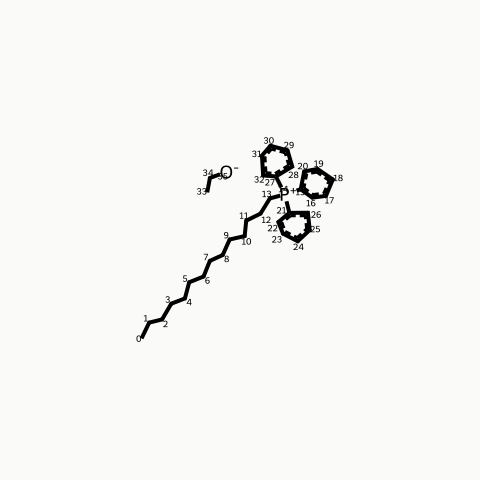 CCCCCCCCCCCCCC[P+](c1ccccc1)(c1ccccc1)c1ccccc1.CC[O-]